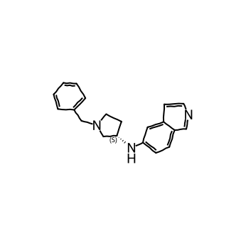 c1ccc(CN2CC[C@H](Nc3ccc4cnccc4c3)C2)cc1